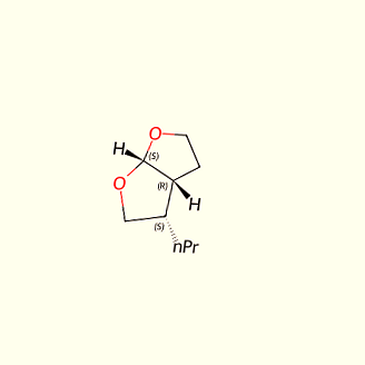 CCC[C@@H]1CO[C@@H]2OCC[C@H]12